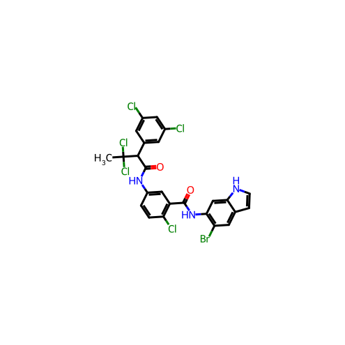 CC(Cl)(Cl)C(C(=O)Nc1ccc(Cl)c(C(=O)Nc2cc3[nH]ccc3cc2Br)c1)c1cc(Cl)cc(Cl)c1